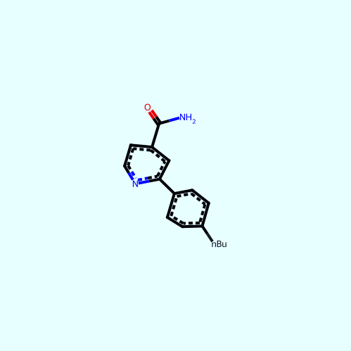 CCCCc1ccc(-c2cc(C(N)=O)ccn2)cc1